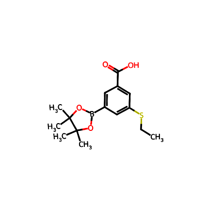 CCSc1cc(B2OC(C)(C)C(C)(C)O2)cc(C(=O)O)c1